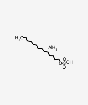 CCCCCCCCCCCCCCOS(=O)(=O)O.[AlH3]